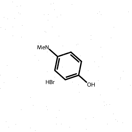 Br.CNc1ccc(O)cc1